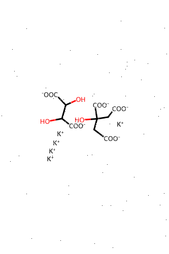 O=C([O-])C(O)C(O)C(=O)[O-].O=C([O-])CC(O)(CC(=O)[O-])C(=O)[O-].[K+].[K+].[K+].[K+].[K+]